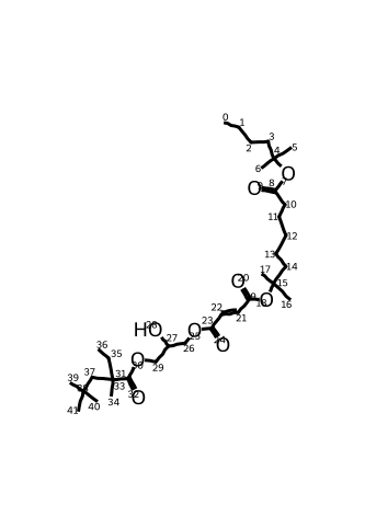 CCCCC(C)(C)OC(=O)CCCCCC(C)(C)OC(=O)/C=C/C(=O)OCC(O)COC(=O)C(C)(CC)CC(C)(C)C